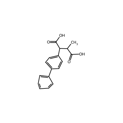 CC(C(=O)O)C(C(=O)O)c1ccc(-c2ccccc2)cc1